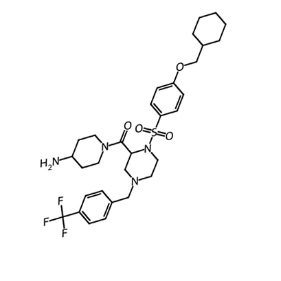 NC1CCN(C(=O)C2CN(Cc3ccc(C(F)(F)F)cc3)CCN2S(=O)(=O)c2ccc(OCC3CCCCC3)cc2)CC1